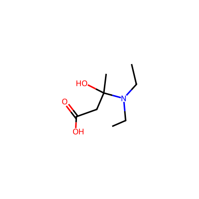 CCN(CC)C(C)(O)CC(=O)O